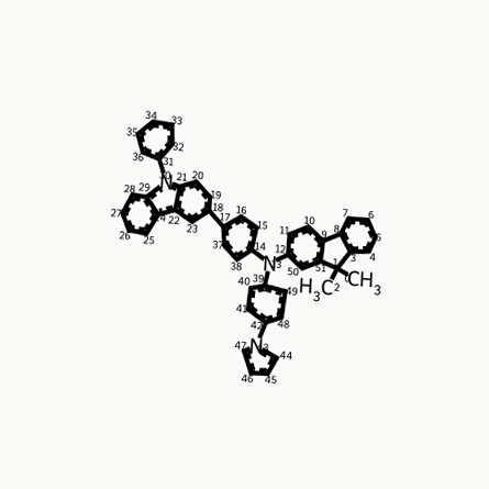 CC1(C)c2ccccc2-c2ccc(N(c3ccc(-c4ccc5c(c4)c4ccccc4n5-c4ccccc4)cc3)c3ccc(-n4cccc4)cc3)cc21